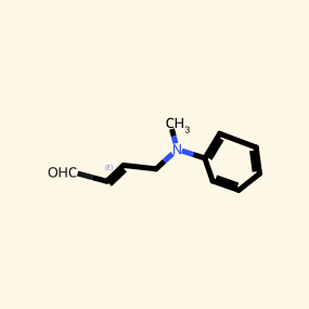 CN(C/C=C/C=O)c1ccccc1